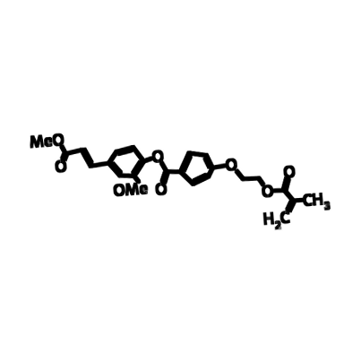 C=C(C)C(=O)OCCOc1ccc(C(=O)Oc2ccc(/C=C/C(=O)OC)cc2OC)cc1